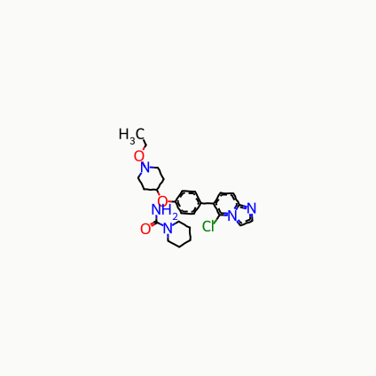 CCON1CCC(Oc2ccc(-c3ccc4nccn4c3Cl)cc2)CC1.NC(=O)N1CCCCC1